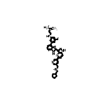 CN(C)CCNc1cc(F)cc(-c2cccc3[nH]c(-c4n[nH]c5ccc(-c6cncc(CNCC7CCCC7)c6)nc45)nc23)c1